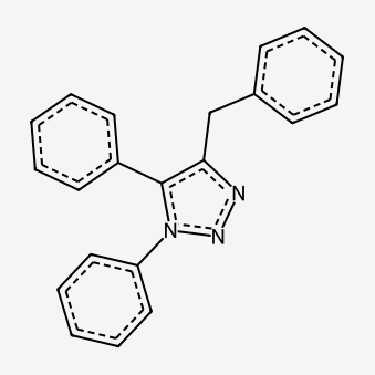 c1ccc(Cc2nnn(-c3ccccc3)c2-c2ccccc2)cc1